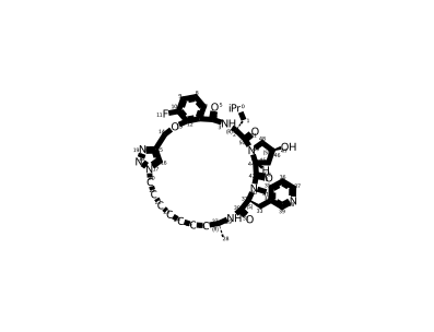 CC(C)C[C@H]1NC(=O)c2cccc(F)c2OCc2cn(nn2)CCCCCCC[C@@H](C)NC(=O)[C@H](Cc2cccnc2)N(C)C(=O)[C@H]2C[C@H](O)CN2C1=O